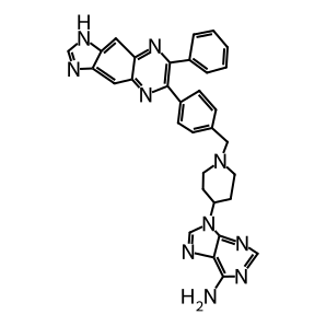 Nc1ncnc2c1ncn2C1CCN(Cc2ccc(-c3nc4cc5nc[nH]c5cc4nc3-c3ccccc3)cc2)CC1